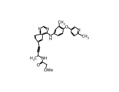 COCC(=O)NC(C)C#Cc1ccc2ncnc(Nc3ccc(Oc4ccc(C)nc4)c(C)c3)c2c1